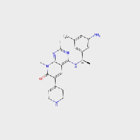 Cc1nc(N[C@H](C)c2cc(N)cc(C(F)(F)F)c2)c2cc(C3=CCNCC3)c(=O)n(C)c2n1